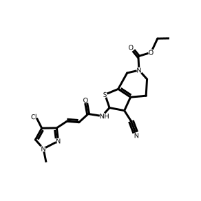 CCOC(=O)N1CCC2=C(C1)SC(NC(=O)/C=C/c1nn(C)cc1Cl)C2C#N